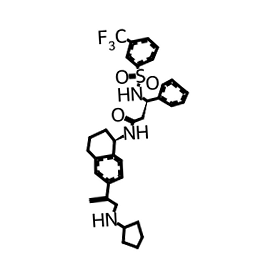 C=C(CNC1CCCC1)c1ccc2c(c1)CCC[C@H]2NC(=O)C[C@@H](NS(=O)(=O)c1cccc(C(F)(F)F)c1)c1ccccc1